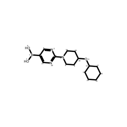 OB(O)c1cnc(N2CCC(OC3CCCCC3)CC2)nc1